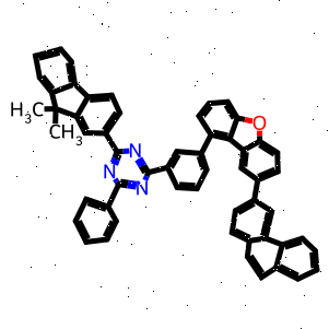 CC1(C)c2ccccc2-c2ccc(-c3nc(-c4ccccc4)nc(-c4cccc(-c5cccc6oc7ccc(-c8ccc9ccc%10ccccc%10c9c8)cc7c56)c4)n3)cc21